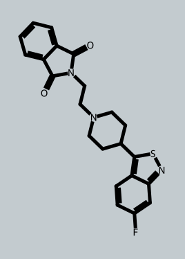 O=C1c2ccccc2C(=O)N1CCN1CCC(c2snc3cc(F)ccc23)CC1